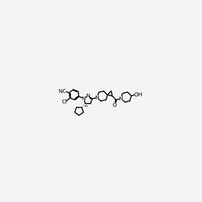 N#Cc1ccc(N2N=C(N3CCC4(CC3)CC4C(=O)N3CCC(O)CC3)C[C@@H]2C2CCCC2)cc1Cl